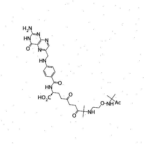 CC(=O)C(C)(C)NOCCNC(C)(C)C(=O)CCC(=O)CC[C@H](NC(=O)c1ccc(NCc2cnc3nc(N)[nH]c(=O)c3n2)cc1)C(=O)O